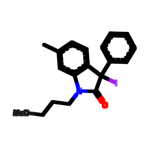 COCCCN1C(=O)C(I)(c2ccccc2)c2ccc(C)cc21